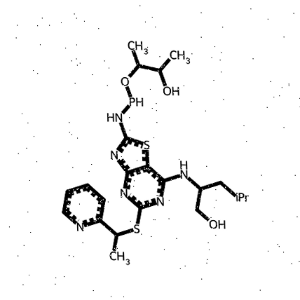 CC(C)CC(CO)Nc1nc(SC(C)c2ccccn2)nc2nc(NPOC(C)C(C)O)sc12